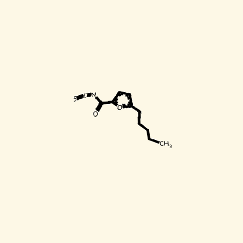 CCCCCc1ccc(C(=O)N=C=S)o1